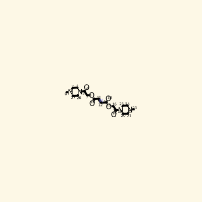 CN1CCN(C(=O)COC(=O)/C=C/C(=O)OCC(=O)N2CCN(C)CC2)CC1